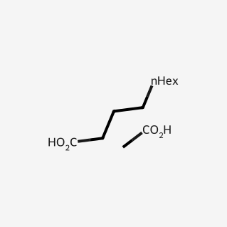 CC(=O)O.CCCCCCCCCC(=O)O